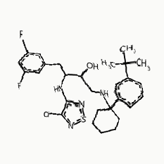 CC(C)(C)c1cccc(C2(NCC(O)C(Cc3cc(F)cc(F)c3)Nc3nsnc3Cl)CCCCC2)c1